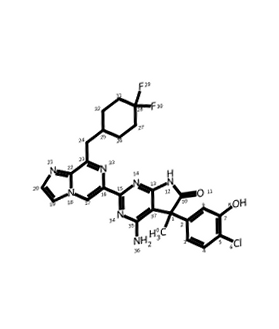 CC1(c2ccc(Cl)c(O)c2)C(=O)Nc2nc(-c3cn4ccnc4c(CC4CCC(F)(F)CC4)n3)nc(N)c21